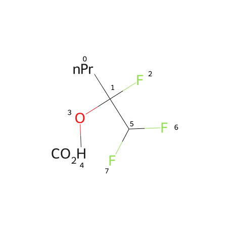 CCCC(F)(OC(=O)O)C(F)F